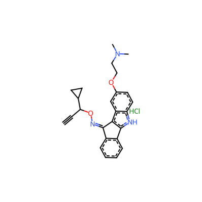 C#CC(ON=C1c2ccccc2-c2[nH]c3ccc(OCCN(C)C)cc3c21)C1CC1.Cl